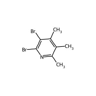 Cc1nc(Br)c(Br)c(C)c1C